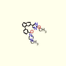 COc1ncc(-c2ccc3cccc(-c4cccc(C(=O)N5CCN(C)CC5)c4)c3c2)cn1